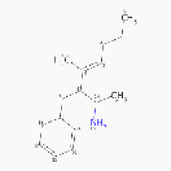 CCC/C=C(\C)C(CC1C=CC=CC1)C(C)N